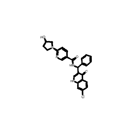 O=C(NC(c1ccccc1)c1c[nH]c2cc(Cl)ccc2c1=O)c1ccc(N2CCC(O)C2)nc1